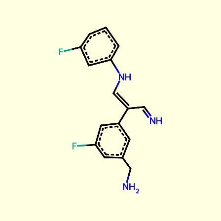 N=C/C(=C\Nc1cccc(F)c1)c1cc(F)cc(CN)c1